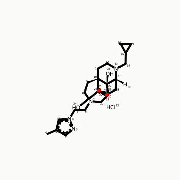 Cc1cnn(CCN2CC[C@]34CCN(CC5CC5)[C@H](Cc5ccc(O)cc53)[C@]4(O)CC2)c1.Cl